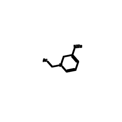 CNC1=CC=CN(CC(C)=O)C1